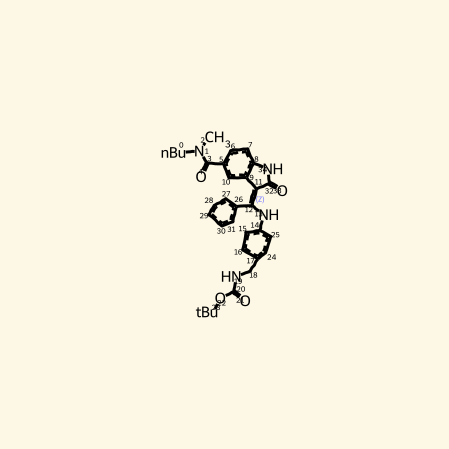 CCCCN(C)C(=O)c1ccc2c(c1)/C(=C(/Nc1ccc(CNC(=O)OC(C)(C)C)cc1)c1ccccc1)C(=O)N2